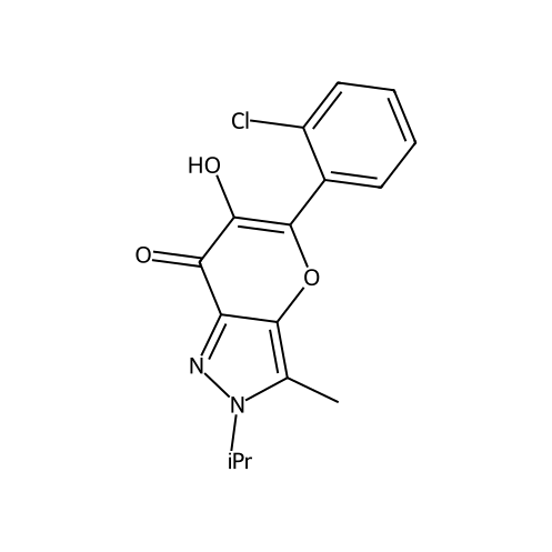 Cc1c2oc(-c3ccccc3Cl)c(O)c(=O)c2nn1C(C)C